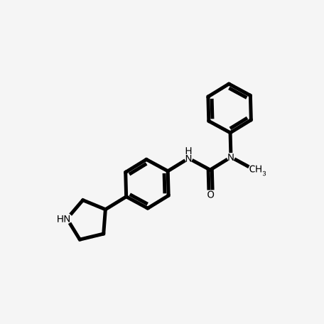 CN(C(=O)Nc1ccc(C2CCNC2)cc1)c1ccccc1